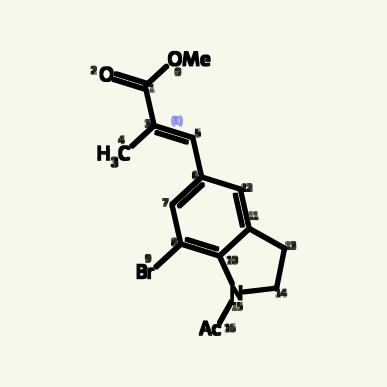 COC(=O)/C(C)=C/c1cc(Br)c2c(c1)CCN2C(C)=O